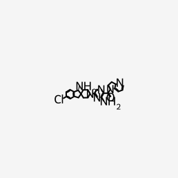 Nc1nc(N2CCC3(CC2)Cc2cc(Cl)ccc2[C@H]3N)cnc1C(=O)N1CCc2ncccc21